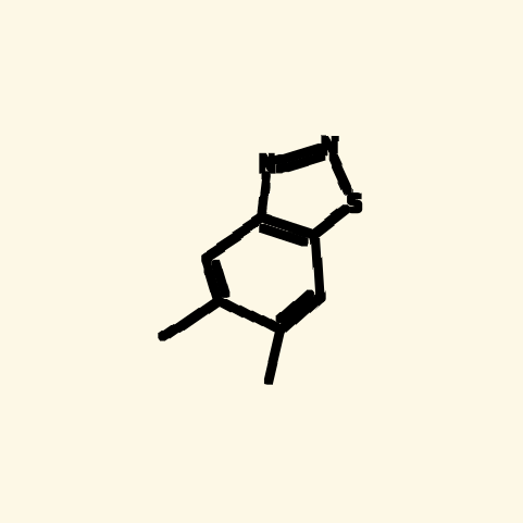 Cc1cc2nnsc2cc1C